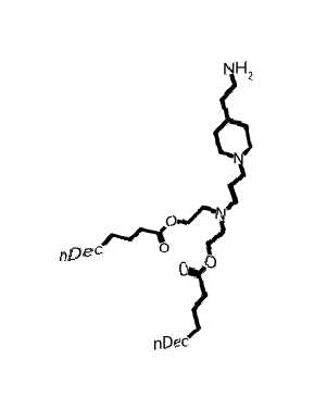 CCCCCCCCCCCCCC(=O)OCCN(CCCN1CCC(CCN)CC1)CCOC(=O)CCCCCCCCCCCCC